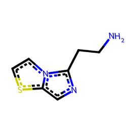 NCCc1ncc2sccn12